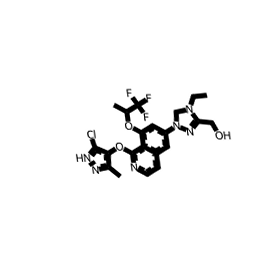 CCN1CN(c2cc(OC(C)C(F)(F)F)c3c(Oc4c(C)n[nH]c4Cl)nccc3c2)N=C1CO